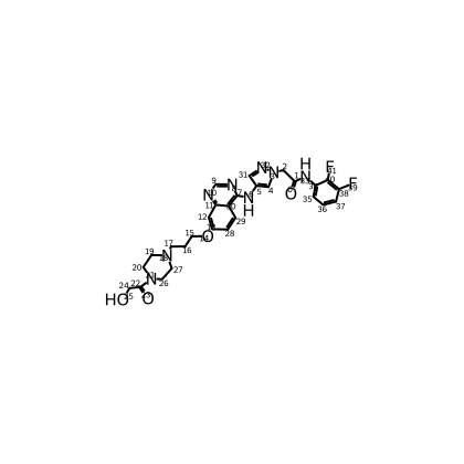 O=C(Cn1cc(Nc2ncnc3cc(OCCCN4CCN(C(=O)CO)CC4)ccc23)cn1)Nc1cccc(F)c1F